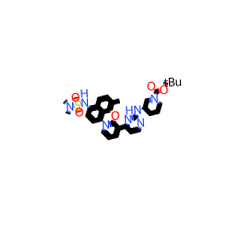 Cc1ccc2c(NS(=O)(=O)N(C)C)cccc2c1Oc1ncccc1-c1ccnc(N[C@H]2CCCN(C(=O)OC(C)(C)C)C2)n1